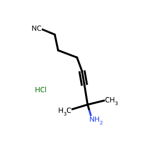 CC(C)(N)C#CCCCC#N.Cl